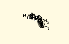 CCN(C)S(=O)(=O)Nc1ccc(F)c(-c2cc3cnc(S(C)(=O)=O)nc3n(C)c2=O)c1F